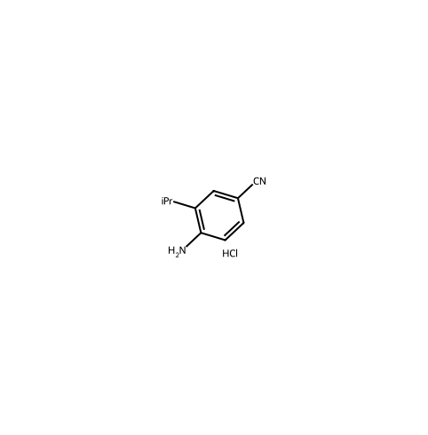 CC(C)c1cc(C#N)ccc1N.Cl